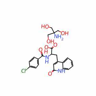 NC(CO)(CO)CO.O=C(NC(Cc1cc(=O)[nH]c2ccccc12)C(=O)O)c1ccc(Cl)cc1